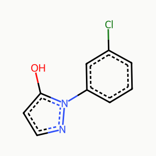 Oc1ccnn1-c1cccc(Cl)c1